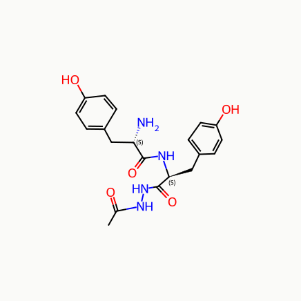 CC(=O)NNC(=O)[C@H](Cc1ccc(O)cc1)NC(=O)[C@@H](N)Cc1ccc(O)cc1